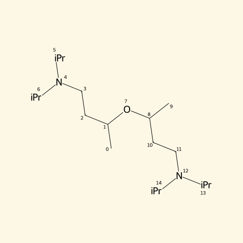 CC(CCN(C(C)C)C(C)C)OC(C)CCN(C(C)C)C(C)C